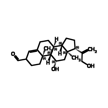 C=C(CO)[C@H]1CC[C@H]2[C@@H]3CCC4=CC(C=O)CC[C@]4(C)[C@H]3[C@@H](O)C[C@]12C